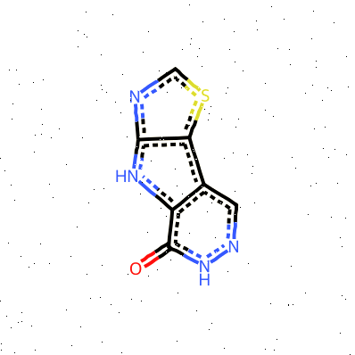 O=c1[nH]ncc2c1[nH]c1ncsc12